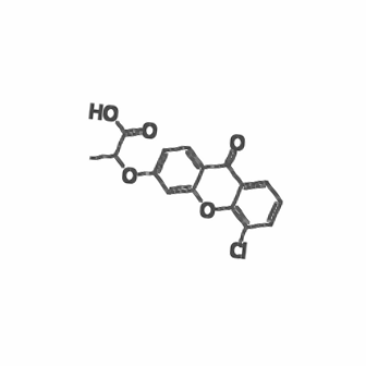 CC(Oc1ccc2c(=O)c3cccc(Cl)c3oc2c1)C(=O)O